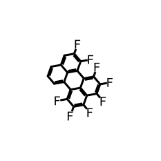 Fc1cc2cccc3c4c(F)c(F)c(F)c5c(F)c(F)c(F)c(c(c1F)c23)c54